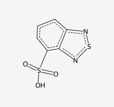 O=S(=O)(O)c1cccc2nsnc12